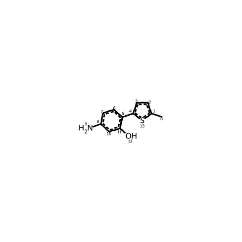 Cc1ccc(-c2ccc(N)cc2O)s1